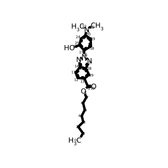 CCCCCCCCOC(=O)c1ccc2nn(-c3ccc(N(C)C)cc3O)nc2c1